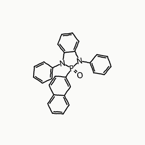 O=P1(c2ccc3ccccc3c2)N(c2ccccc2)c2ccccc2N1c1ccccc1